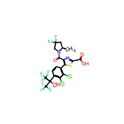 CC1CC(F)(F)CN1C(=O)c1nc(C(=O)O)sc1-c1ccc(C(O)(C(F)(F)F)C(F)(F)F)c(Cl)c1Cl